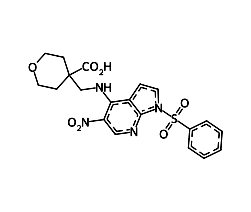 O=C(O)C1(CNc2c([N+](=O)[O-])cnc3c2ccn3S(=O)(=O)c2ccccc2)CCOCC1